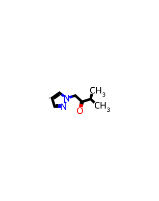 CC(C)C(=O)Cn1c[c]cn1